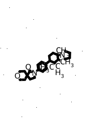 CC1C(C)(C)C(c2ccc(N3CCC4(CCOCC4)C3=O)cc2)CCC1(C)N1CCCC1